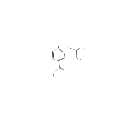 CC/C(=N\Cl)Nc1cc(C(=O)OC)ccc1Cl